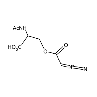 CC(=O)NC(COC(=O)C=[N+]=[N-])C(=O)O